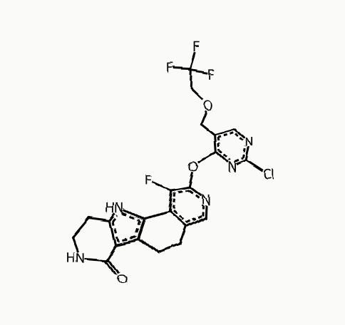 O=C1NCCc2[nH]c3c(c21)CCc1cnc(Oc2nc(Cl)ncc2COCC(F)(F)F)c(F)c1-3